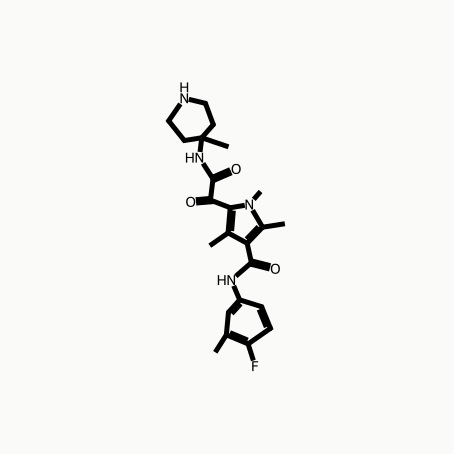 Cc1cc(NC(=O)c2c(C)c(C(=O)C(=O)NC3(C)CCNCC3)n(C)c2C)ccc1F